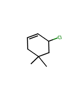 CC1(C)CC=CC(Cl)C1